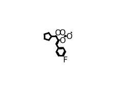 COC(=O)OC(=Cc1ccc(F)cc1)C(=O)C1CCCC1